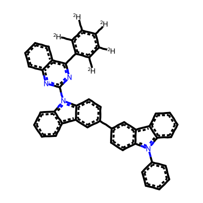 [2H]c1c([2H])c([2H])c(-c2nc(-n3c4ccccc4c4cc(-c5ccc6c(c5)c5ccccc5n6-c5ccccc5)ccc43)nc3ccccc23)c([2H])c1[2H]